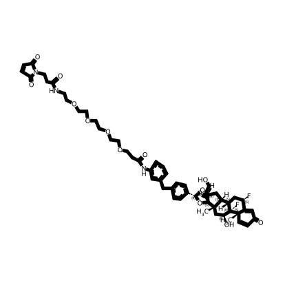 C[C@]12C=CC(=O)C=C1[C@@H](F)C[C@H]1[C@@H]3C[C@H]4O[C@@H](c5ccc(Cc6cccc(NC(=O)CCOCCOCCOCCOCCNC(=O)CCN7C(=O)C=CC7=O)c6)cc5)O[C@@]4(C(=O)CO)[C@@]3(C)C[C@H](O)[C@@]12F